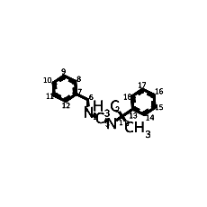 CC(C)(N=C=NCc1ccccc1)c1ccccc1